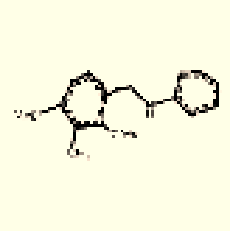 COc1ccc(CNc2ccccc2)c(OC)c1C